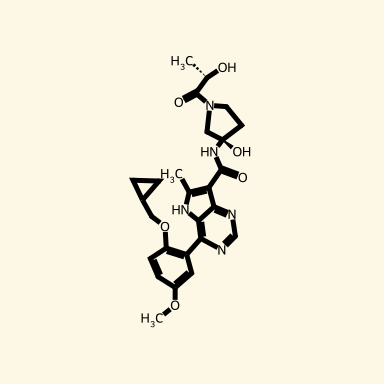 COc1ccc(OCC2CC2)c(-c2ncnc3c(C(=O)N[C@@]4(O)CCN(C(=O)[C@H](C)O)C4)c(C)[nH]c23)c1